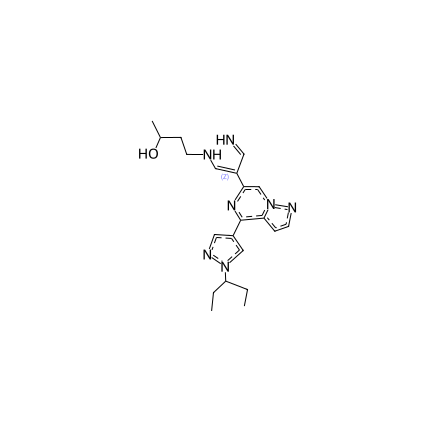 CCC(CC)n1cc(-c2nc(/C(C=N)=C/NCCC(C)O)cn3nccc23)cn1